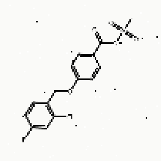 CS(=O)(=O)NC(=O)c1ccc(OCc2ccc(F)cc2Cl)cc1